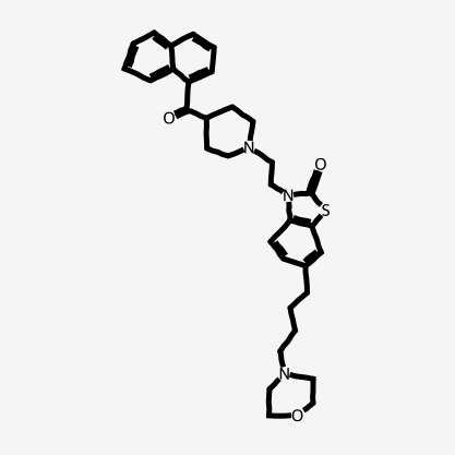 O=C(c1cccc2ccccc12)C1CCN(CCn2c(=O)sc3cc(CCCCN4CCOCC4)ccc32)CC1